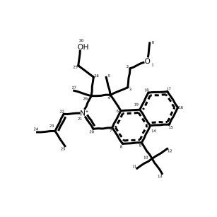 COCCC1(C)c2c(cc(C(C)(C)C)c3ccccc23)C=[N+](C=C(C)C)C1(C)CCO